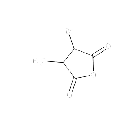 CC1C(=O)OC(=O)C1Br